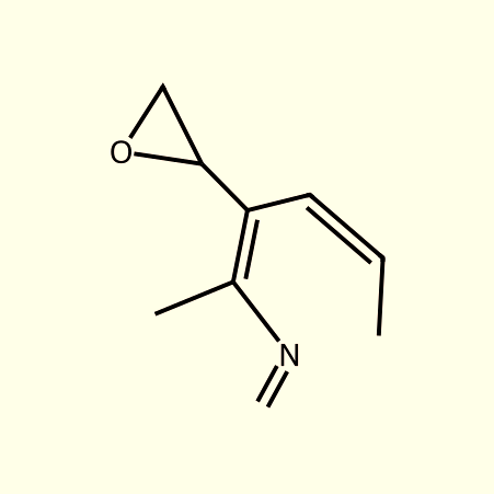 C=N/C(C)=C(\C=C/C)C1CO1